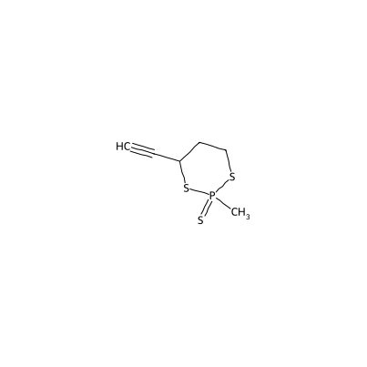 C#CC1CCSP(C)(=S)S1